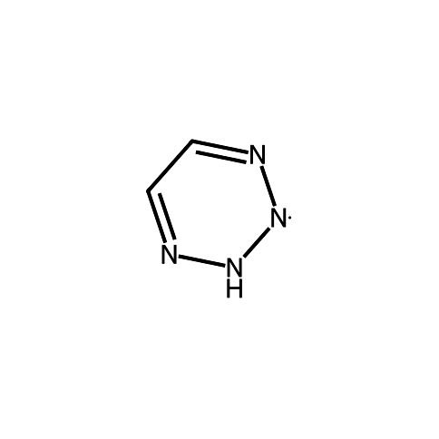 C1=N[N]NN=C1